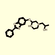 CC(O)CN1CCNC(Oc2ccc3oc(-c4ccccc4)nc3c2)C1